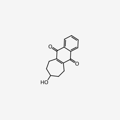 O=C1C2=C(CCC(O)CC2)C(=O)c2ccccc21